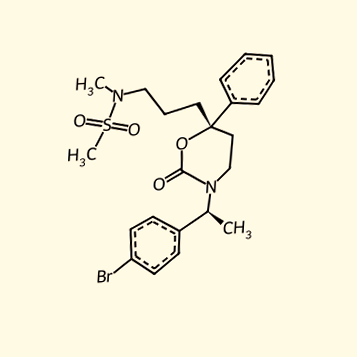 C[C@@H](c1ccc(Br)cc1)N1CC[C@@](CCCN(C)S(C)(=O)=O)(c2ccccc2)OC1=O